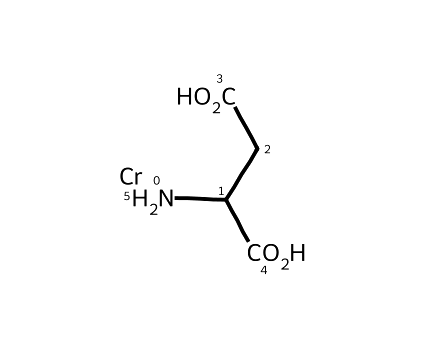 NC(CC(=O)O)C(=O)O.[Cr]